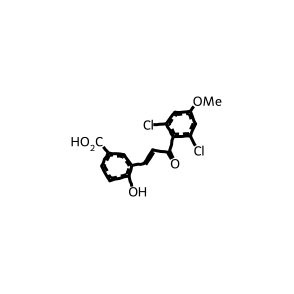 COc1cc(Cl)c(C(=O)/C=C/c2cc(C(=O)O)ccc2O)c(Cl)c1